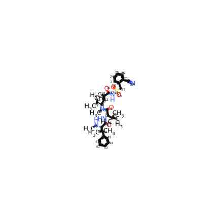 CN[C@H](C(=O)N[C@H](C(=O)N(C)[C@H](C=C(C)C(=O)NS(=O)(=O)Cc1ccccc1C#N)C(C)C)C(C)(C)C)C(C)(C)c1ccccc1